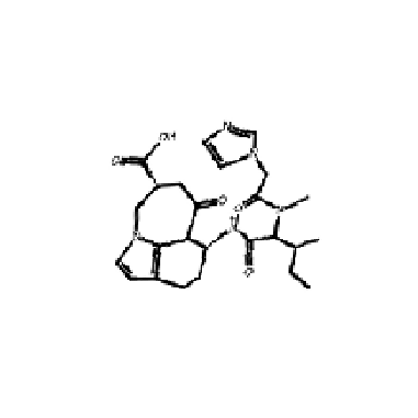 CCC(C)C(C(=O)N[C@H]1CCc2ccn3c2C1C(=O)C[C@H](C(=O)O)C3)N(C)C(=O)Cn1ccnc1